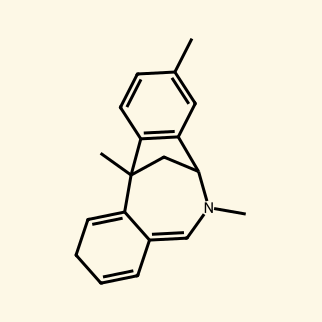 Cc1ccc2c(c1)C1CC2(C)C2=CCC=CC2=CN1C